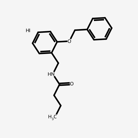 CCCC(=O)NCc1ccccc1OCc1ccccc1.I